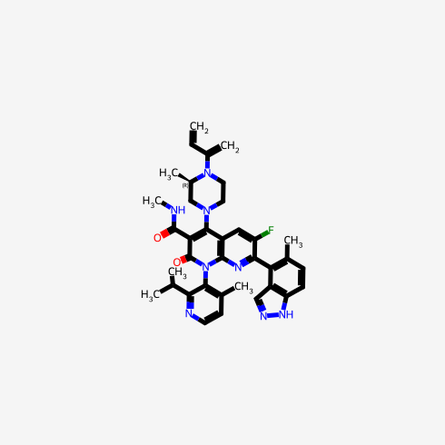 C=CC(=C)N1CCN(c2c(C(=O)NC)c(=O)n(-c3c(C)ccnc3C(C)C)c3nc(-c4c(C)ccc5[nH]ncc45)c(F)cc23)C[C@H]1C